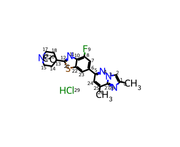 Cc1cn2nc(-c3cc(F)c4nc(C56CCN(CC5)CC6)sc4c3)cc(C)c2n1.Cl